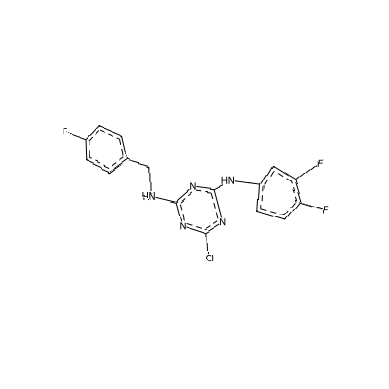 Fc1ccc(CNc2nc(Cl)nc(Nc3ccc(F)c(F)c3)n2)cc1